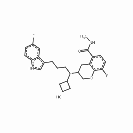 CNC(=O)c1ccc(F)c2c1CC(N(CCCc1c[nH]c3ccc(F)cc13)C1CCC1)CO2.Cl